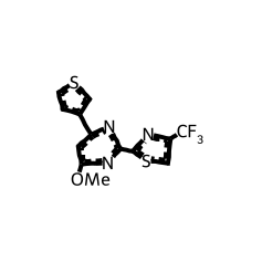 COc1cc(-c2ccsc2)nc(-c2nc(C(F)(F)F)cs2)n1